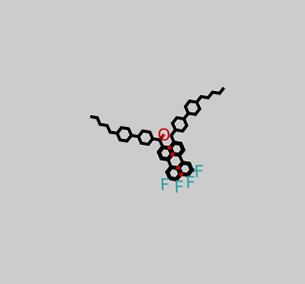 CCCCCC1CCC(C2CCC(C(OC(c3ccc(-c4ccc(F)c(F)c4)cc3)C3CCC(C4CCC(CCCCC)CC4)CC3)c3ccc(-c4ccc(F)c(F)c4)cc3)CC2)CC1